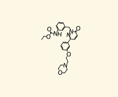 CCOC(=O)Nc1cccc(Cn2nc(-c3cccc(OCCN4CCOCC4)c3)ccc2=O)c1